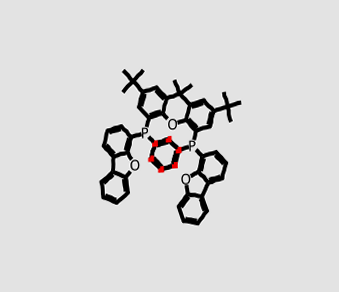 CC(C)(C)c1cc(P(c2ccccc2)c2cccc3c2oc2ccccc23)c2c(c1)C(C)(C)c1cc(C(C)(C)C)cc(P(c3ccccc3)c3cccc4c3oc3ccccc34)c1O2